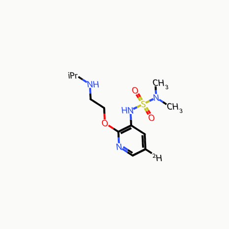 [2H]c1cnc(OCCNC(C)C)c(NS(=O)(=O)N(C)C)c1